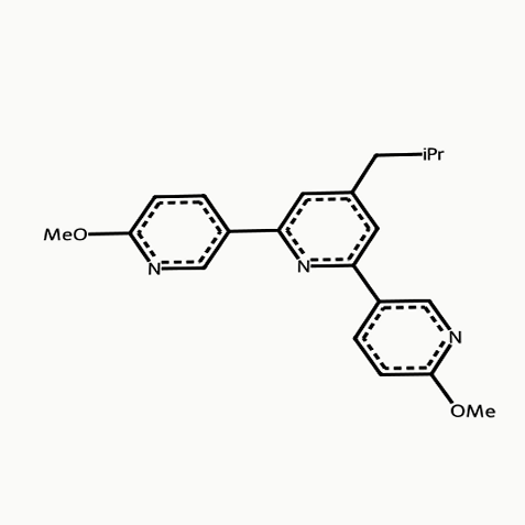 COc1ccc(-c2cc(CC(C)C)cc(-c3ccc(OC)nc3)n2)cn1